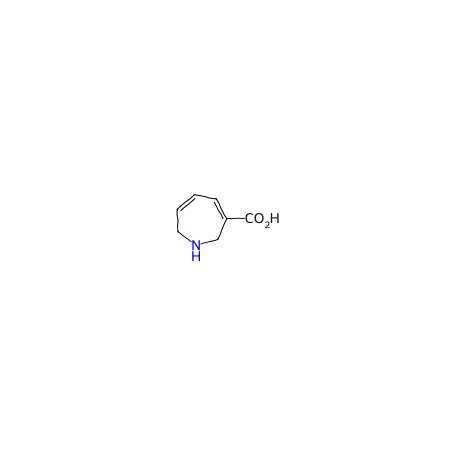 O=C(O)C1=CC=CCNC1